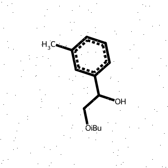 Cc1cccc(C(O)COCC(C)C)c1